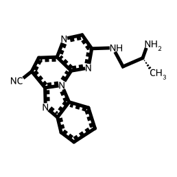 C[C@@H](N)CNc1cnc2cc(C#N)c3nc4ccccc4n3c2n1